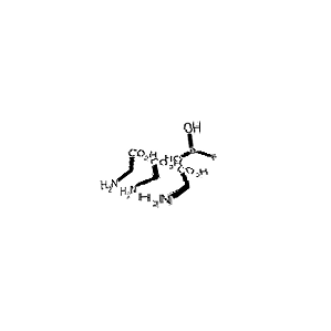 NCC(=O)O.NCC(=O)O.NCC(=O)O.OB(O)F